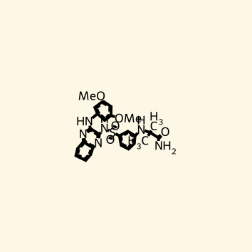 COc1cc(Nc2nc3ccccc3nc2NS(=O)(=O)c2cccc(NC(C)(C)C(N)=O)c2)cc(OC)c1